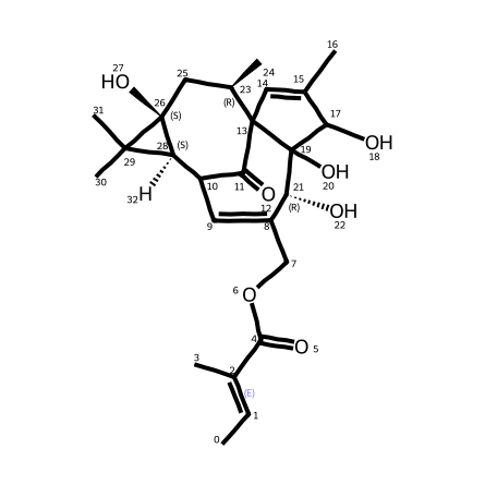 C/C=C(\C)C(=O)OCC1=CC2C(=O)C3(C=C(C)C(O)C3(O)[C@@H]1O)[C@H](C)C[C@]1(O)[C@@H]2C1(C)C